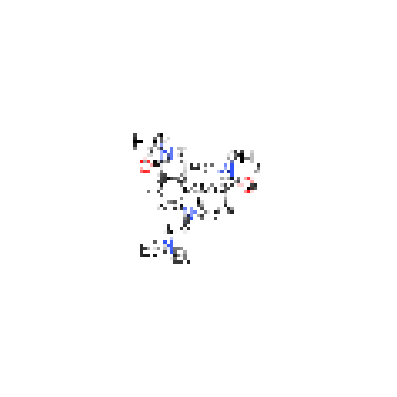 CCN(CC)CCn1c2ccc3c(c2c2c4ccn(C)c(=O)c4ccc21)CN(C)C3=O